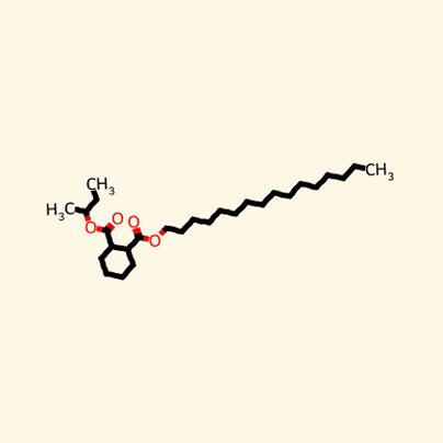 CCCCCCCCCCCCCCCCOC(=O)C1CCCCC1C(=O)OC(C)CC